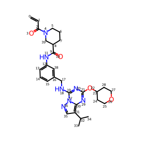 C=CC(=O)N1CCCC(C(=O)Nc2cccc(CNc3nc(OC4CCOCC4)nc4c(C(C)C)cnn34)c2)C1